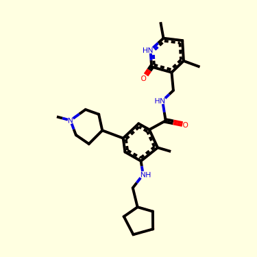 Cc1cc(C)c(CNC(=O)c2cc(C3CCN(C)CC3)cc(NCC3CCCC3)c2C)c(=O)[nH]1